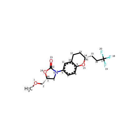 COC[C@H]1CN(c2ccc3c(c2)CC[C@H](CCC(F)(F)F)O3)C(=O)O1